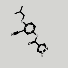 CC(C)COc1ccc(OC(=O)c2cn[nH]c2)cc1C#N